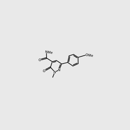 CNC(=O)c1cc(-c2ccc(OC)cc2)nn(C)c1=O